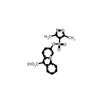 CCOC(=O)c1c2ccccc2n2cc(OS(=O)(=O)c3c(C)noc3C)ccc12